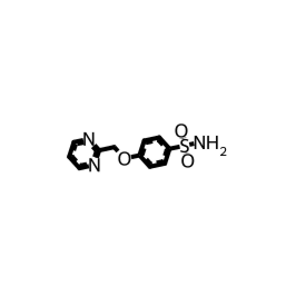 NS(=O)(=O)c1ccc(OCc2ncccn2)cc1